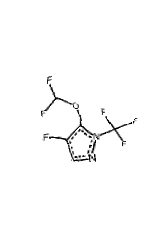 Fc1[c]nn(C(F)(F)F)c1OC(F)F